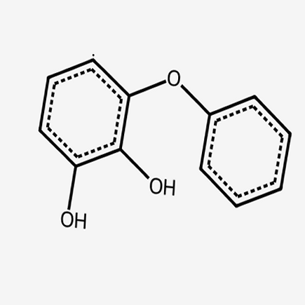 Oc1cc[c]c(Oc2ccccc2)c1O